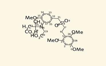 COc1cc(OC)c(CCS(=O)(=O)Cc2ccc(OC)c(N(CC(=O)O)C(C)(C)C(=O)O)c2)c(OC)c1